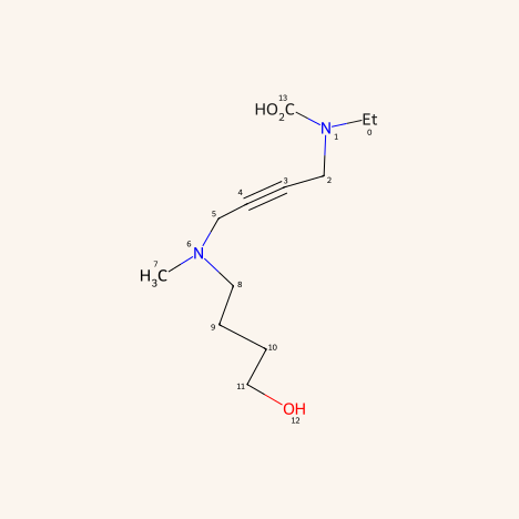 CCN(CC#CCN(C)CCCCO)C(=O)O